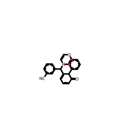 N#Cc1cccc(C(C2=CC=CC(=O)C2c2ccccc2)N2C=COC=C2)c1